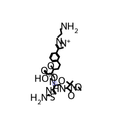 CON1C(=O)C(NC(=O)/C(=N\O[C@@H](C(=O)O)C2CCc3cc(-c4cn(CCCN)[n+](C)c4)ccc3O2)c2csc(N)n2)C1(C)C